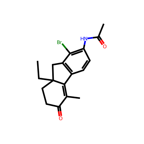 CCC12CCC(=O)C(C)=C1c1ccc(NC(C)=O)c(Br)c1C2